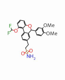 COc1ccc(C2Oc3cccc(OC(F)F)c3-c3ccc(CCS(N)(=O)=O)cc32)cc1OC